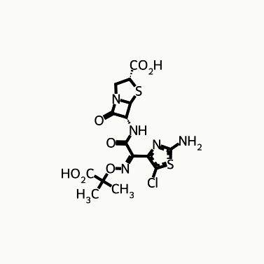 CC(C)(O/N=C(\C(=O)N[C@@H]1C(=O)N2C[C@H](C(=O)O)SC12)c1nc(N)sc1Cl)C(=O)O